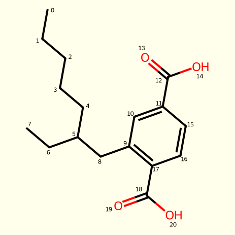 CCCCCC(CC)Cc1cc(C(=O)O)ccc1C(=O)O